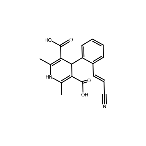 CC1=C(C(=O)O)C(c2ccccc2C=CC#N)C(C(=O)O)=C(C)N1